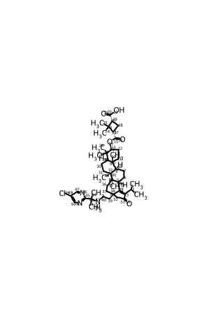 CC(C)C1=C2[C@H]3CC[C@@H]4[C@@]5(C)CC[C@H](OC(=O)[C@H]6C[C@@H](C(=O)O)C6(C)C)C(C)(C)[C@@H]5CC[C@@]4(C)[C@]3(C)CC[C@@]2(CCNC(C)(C)c2ncc(Cl)cn2)CC1=O